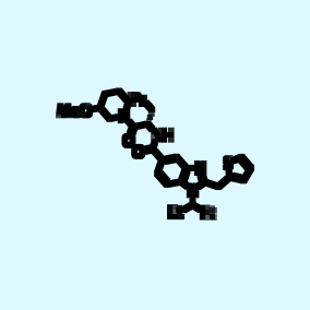 CCC(CC)n1c(Cc2cccs2)nc2cc(C(=O)N[C@@H](CC(C)C)C(=O)N3CCCC(OC)C3)ccc21